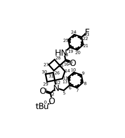 CC(C)(C)OC(=O)N(Cc1ccccc1)C1(CCC2(C(=O)Nc3ccc(F)cc3)CCC2)CCC1